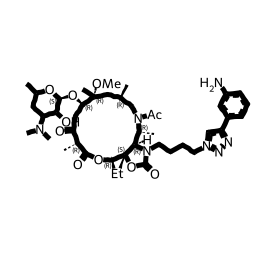 CC[C@H]1OC(=O)[C@H](C)C(=O)C[C@@H](O[C@@H]2OC(C)CC(N(C)C)C2O)[C@](C)(OC)C[C@@H](C)CN(C(C)=O)[C@H](C)[C@H]2N(CCCCn3cc(-c4cccc(N)c4)nn3)C(=O)O[C@]12C